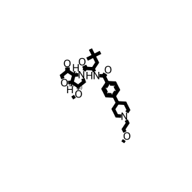 COCCN1CCC(c2ccc(C(=O)NC(CC(C)(C)C)C(=O)N3C[C@H](OC)[C@H]4OCC(=O)[C@H]43)cc2)CC1